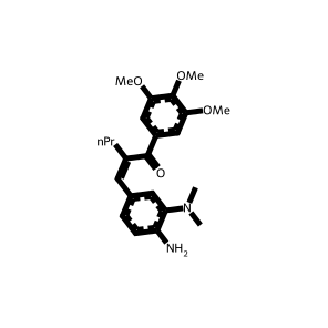 CCCC(=Cc1ccc(N)c(N(C)C)c1)C(=O)c1cc(OC)c(OC)c(OC)c1